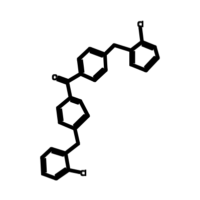 O=C(c1ccc(Cc2ccccc2Cl)cc1)c1ccc(Cc2ccccc2Cl)cc1